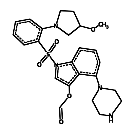 COC1CCN(c2ccccc2S(=O)(=O)n2cc(OC=O)c3c(N4CCNCC4)cccc32)C1